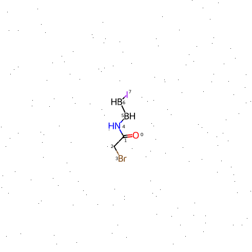 O=C(CBr)NBBI